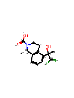 C[C@H]1c2cccc(C(C)(O)C(F)F)c2CCN1C(=O)O